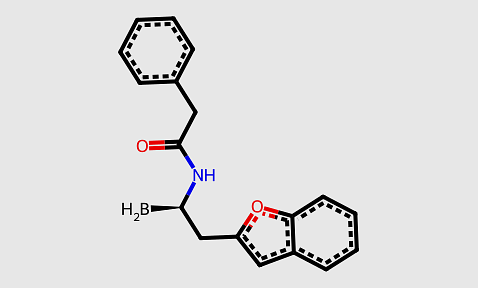 B[C@H](Cc1cc2ccccc2o1)NC(=O)Cc1ccccc1